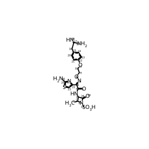 CC1C(NC(=O)C(=NOCCOc2ccc(CC(=N)N)cc2)c2csc(N)n2)C(=O)N1S(=O)(=O)O